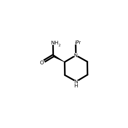 CC(C)N1CCNC[C@H]1C(N)=O